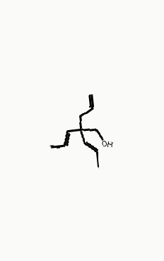 C=CCC(C=CC)(C=CC)CO